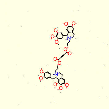 COc1ccc(CC2c3c(cc(OC)c(OC)c3OC)CC[N+]2(C)CCCOC(=O)C#CC(=O)OCCC[N+]2(C)CCc3cc(OC)c(OC)cc3C2c2cc(OC)c(OC)c(OC)c2)cc1OC